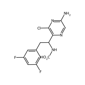 Nc1cnc(C(Cc2cc(F)cc(F)c2)NC(=O)O)c(Cl)n1